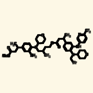 COC(=O)CC(C)c1ccc(N(CC(C)CCOC(=O)CC(C)c2ccc(N(CC(C)C)C3CCOCC3)c(Nc3ccc(C(F)(F)F)nc3)c2)C2CCOCC2)c(N)c1